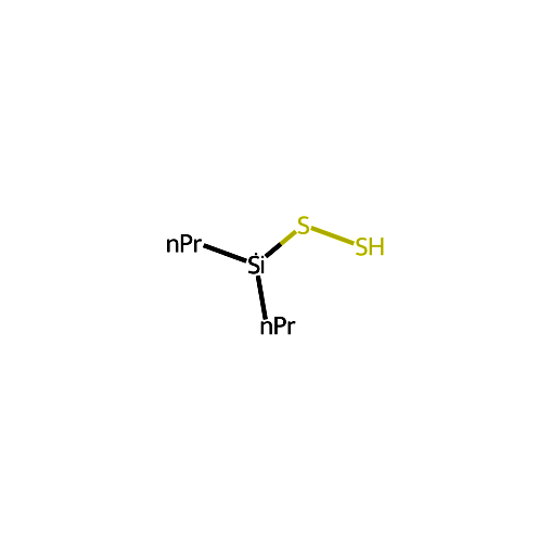 CCC[Si](CCC)SS